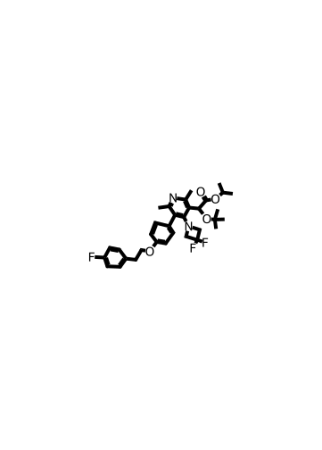 Cc1nc(C)c(C(OC(C)(C)C)C(=O)OC(C)C)c(N2CC(F)(F)C2)c1-c1ccc(OCCc2ccc(F)cc2)cc1